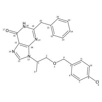 CC(COCc1ccc(Cl)cc1)n1cnc2c(=O)[nH]c(Cc3ccccc3)nc21